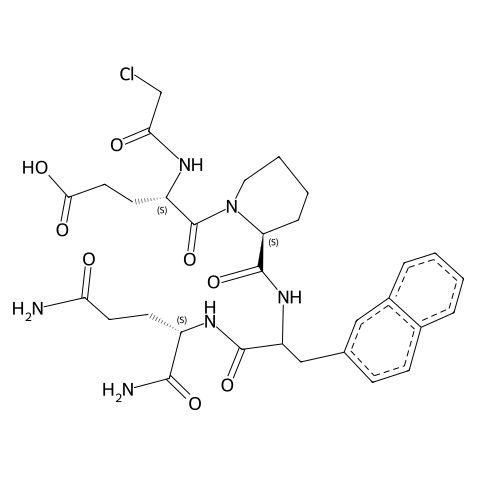 NC(=O)CC[C@H](NC(=O)C(Cc1ccc2ccccc2c1)NC(=O)[C@@H]1CCCCN1C(=O)[C@H](CCC(=O)O)NC(=O)CCl)C(N)=O